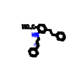 O=C(O)c1ccc(CCc2ccccc2)cc1NC/C=C/c1ccccc1